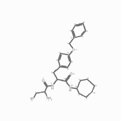 CC(C)CC(N)C(=O)NC(Cc1ccc(OCc2ccccc2)cc1)C(=O)NC1CCCCCC1